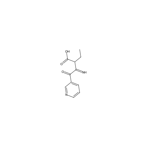 CCC(C(=N)C(=O)c1cccnc1)C(=O)O